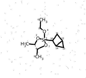 CCO[Si](OCC)(OCC)C1CC2CC21